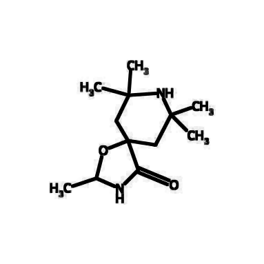 CC1NC(=O)C2(CC(C)(C)NC(C)(C)C2)O1